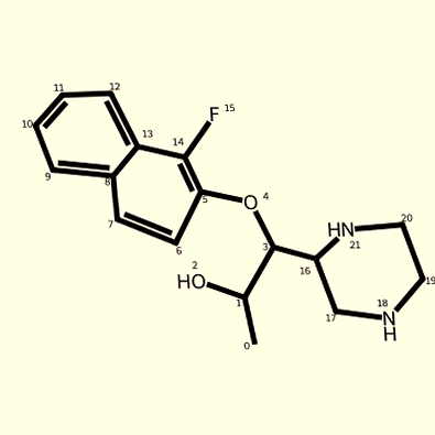 CC(O)C(Oc1ccc2ccccc2c1F)C1CNCCN1